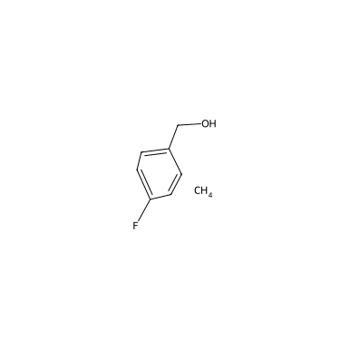 C.OCc1ccc(F)cc1